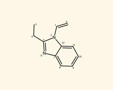 C=Cn1c(CC)nc2ccccc21